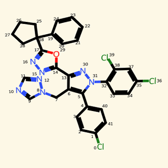 Clc1ccc(-c2c(Cn3cncn3)c(-c3nnc(C4(c5ccccc5)CCCC4)o3)nn2-c2ccc(Cl)cc2Cl)cc1